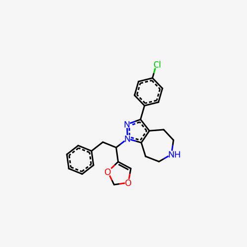 Clc1ccc(-c2nn(C(Cc3ccccc3)C3=COCO3)c3c2CCNCC3)cc1